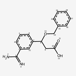 N=C(N)c1cccc(C(CC(=O)O)OCc2ccccc2)c1